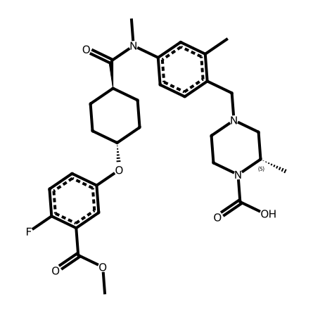 COC(=O)c1cc(O[C@H]2CC[C@H](C(=O)N(C)c3ccc(CN4CCN(C(=O)O)[C@@H](C)C4)c(C)c3)CC2)ccc1F